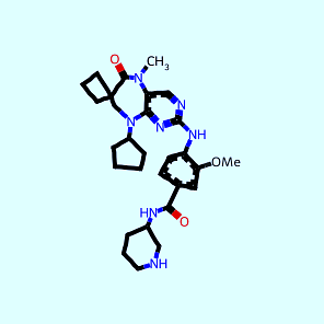 COc1cc(C(=O)NC2CCCNC2)ccc1Nc1ncc2c(n1)N(C1CCCC1)CC1(CCC1)C(=O)N2C